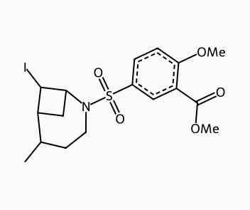 COC(=O)c1cc(S(=O)(=O)N2CCC(C)C3CC2C3I)ccc1OC